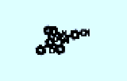 N#Cc1ccc(-c2nc(-c3cccc4oc5c(-c6ccccc6)cc(-c6ccccc6)cc5c34)c3oc4ccccc4c3n2)cc1